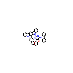 c1ccc2cc3c(cc2c1)c1c2c(cc4c5ccccc5n3c41)c1ccccc1n2-c1nc(-n2c3ccccc3c3ccccc32)c2oc3ccccc3c2n1